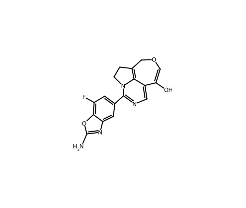 Nc1nc2cc(C3=NC=C4C(O)=COCC5=C4N3CC5)cc(F)c2o1